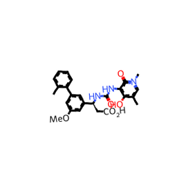 COc1cc(-c2ccccc2C)cc([C@H](CC(=O)O)NC(=O)Nc2c(O)c(C)cn(C)c2=O)c1